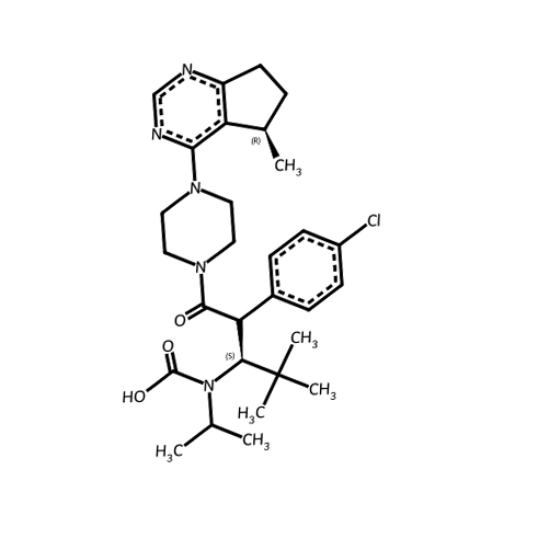 CC(C)N(C(=O)O)[C@@H](C(C(=O)N1CCN(c2ncnc3c2[C@H](C)CC3)CC1)c1ccc(Cl)cc1)C(C)(C)C